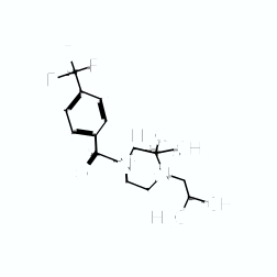 CC(C)CN1CCN(C(=O)c2ccc(C(F)(F)F)cc2)CC1(C)C